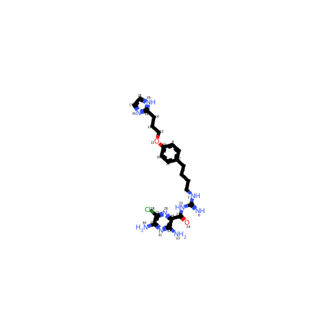 N=C(NCCCCc1ccc(OCCCc2ncc[nH]2)cc1)NC(=O)c1nc(Cl)c(N)nc1N